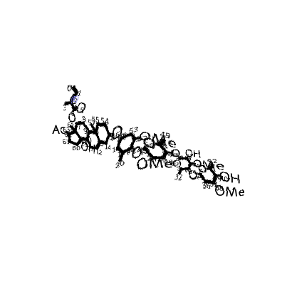 C/C=C(\C)C(=O)OC1CC2C(CC=C3CC(O[C@@H]4CC(C)[C@@H](O[C@H]5CC(OC)[C@H](O[C@@H]6OC(C)[C@@H](O[C@H]7CC(OC)[C@H](O)C(C)O7)C(OC)[C@@H]6O)C(C)O5)C(OC)C4)CCC32C)C2(O)CCC(C(C)=O)C12C